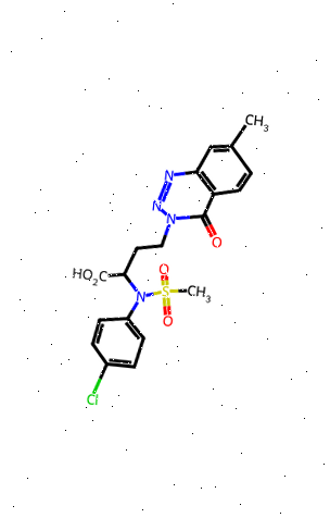 Cc1ccc2c(=O)n(CCC(C(=O)O)N(c3ccc(Cl)cc3)S(C)(=O)=O)nnc2c1